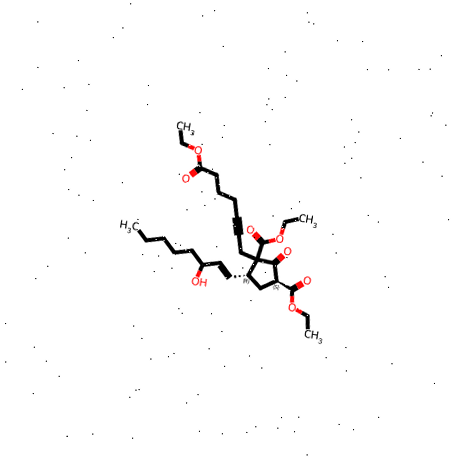 CCCCCC(O)C=C[C@H]1C[C@H](C(=O)OCC)C(=O)C1(CC#CCCCC(=O)OCC)C(=O)OCC